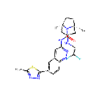 Cc1nnc(-c2ccc3nnc(NC(=O)N4[C@@H]5CC[C@H]4C[C@@H](NCC(F)F)C5)cc3c2)s1